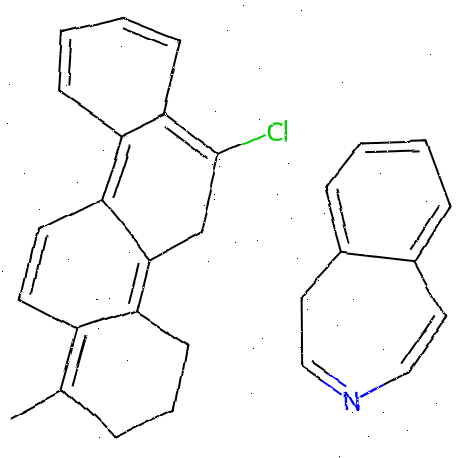 C1=Cc2ccccc2CC=N1.CC1=c2ccc3c(c2CCC1)CC(Cl)=c1ccccc1=3